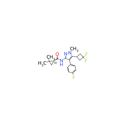 Cn1nc(NC(=O)[C@H]2CC2(C)C)c(-c2ccc(F)cc2)c1C1CC(F)(F)C1